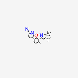 Cc1ccc2c(oc3nc(C#N)ccc32)c1-c1cc(C(C)C)c([Si](C)(C)C)c[n+]1C